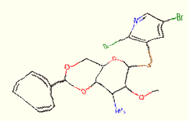 COC1C(Sc2cc(Br)cnc2Br)OC2COC(c3ccccc3)OC2C1N